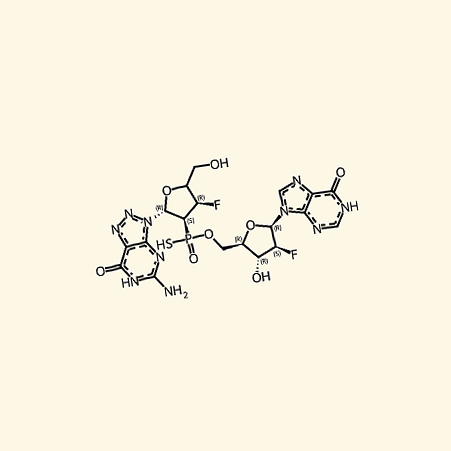 Nc1nc2c(nnn2[C@@H]2OC(CO)[C@@H](F)[C@H]2P(=O)(S)OC[C@H]2O[C@@H](n3cnc4c(=O)[nH]cnc43)[C@@H](F)[C@@H]2O)c(=O)[nH]1